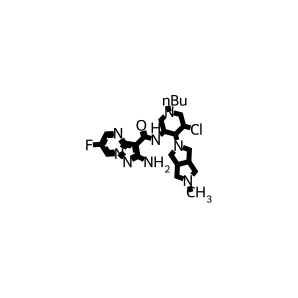 CCCCN1CC(Cl)C(N2CC3CN(C)CC3C2)C(NC(=O)c2c(N)nn3cc(F)cnc23)C1